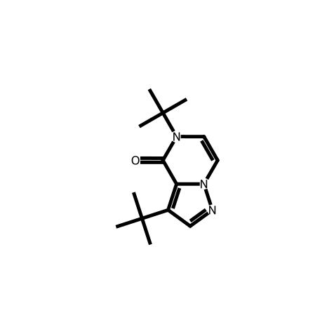 CC(C)(C)c1cnn2ccn(C(C)(C)C)c(=O)c12